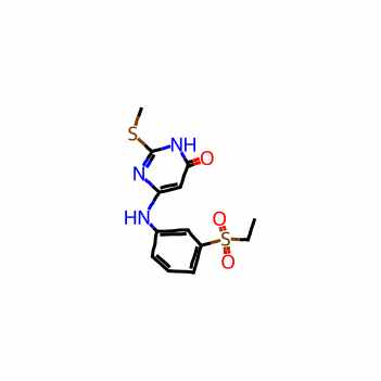 CCS(=O)(=O)c1cccc(Nc2cc(=O)[nH]c(SC)n2)c1